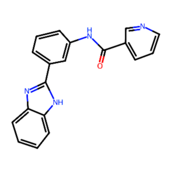 O=C(Nc1cccc(-c2nc3ccccc3[nH]2)c1)c1cccnc1